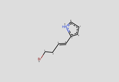 BrCCC=Cc1ccc[nH]1